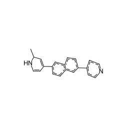 CC1C=C(c2ccc3cc(-c4ccncc4)ccc3c2)C=CN1